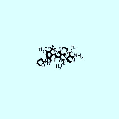 CSc1nc2c3c(nc(-c4c(C(F)(F)F)c(C)cc5c4cnn5C4CCCCO4)c(F)c3n1)OCCN2C(C)c1cccnc1N